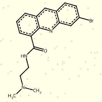 CN(C)CCNC(=O)c1cccc2cc3ccc(Br)cc3nc12